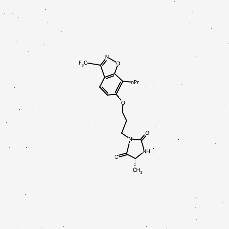 CCCc1c(OCCCN2C(=O)N[C@H](C)C2=O)ccc2c(C(F)(F)F)noc12